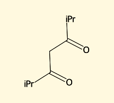 CC(C)C(=O)CC(=O)C(C)C